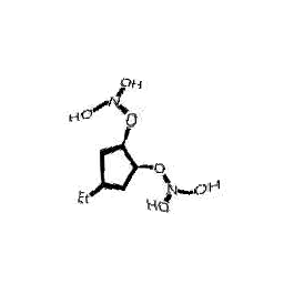 CCC1C[C@H](ON(O)O)[C@H](ON(O)O)C1